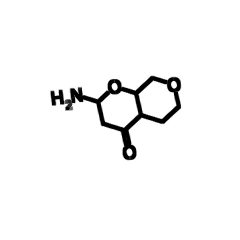 NC1CC(=O)C2CCOCC2O1